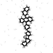 c1ccc2cc(-c3c4ccccc4c(-c4ccc(-c5ccc6c(c5)oc5c7ccccc7ccc65)cc4)c4ccccc34)ccc2c1